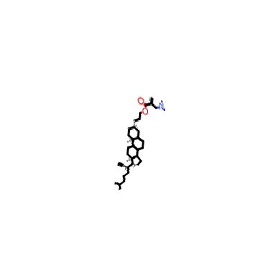 C#C[C@H](CCCC(C)C)[C@H]1CCC2C3CCC4C[C@@H](CCCOC(=O)C(=C)CN(C)C)CC[C@]4(C)C3CC[C@@]21C